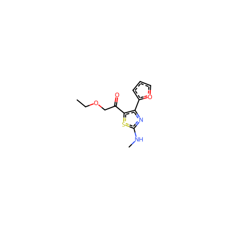 CCOCC(=O)c1sc(NC)nc1-c1ccco1